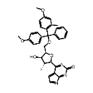 COc1ccc(C(OC[C@H]2OC(C3=NC(=O)N=C4N=CC=C43)[C@H](F)[C@H]2O)(c2ccccc2)c2ccc(OC)cc2C)cc1